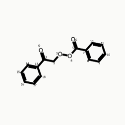 O=C(COOC(=O)c1ccccc1)c1ccccc1